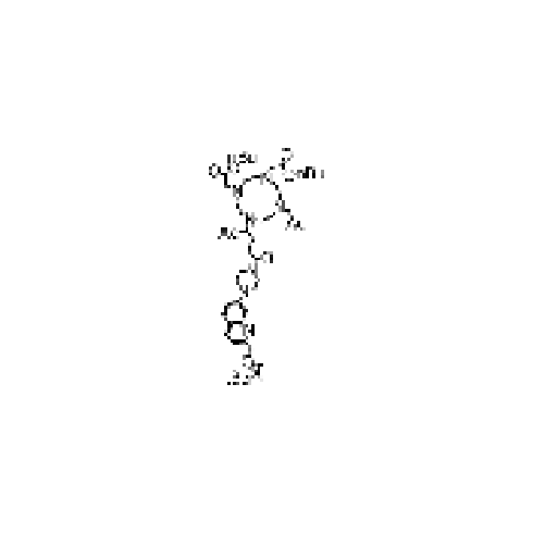 CCCCOC(=O)CN1CCN(CC(C)=O)CCN(C(CCC(=O)N2CCN(c3ccc4ccc(CO[Si](C)(C)C(C)(C)C)nc4c3)CC2)C(C)=O)CCN(CC(=O)OCCCC)CC1